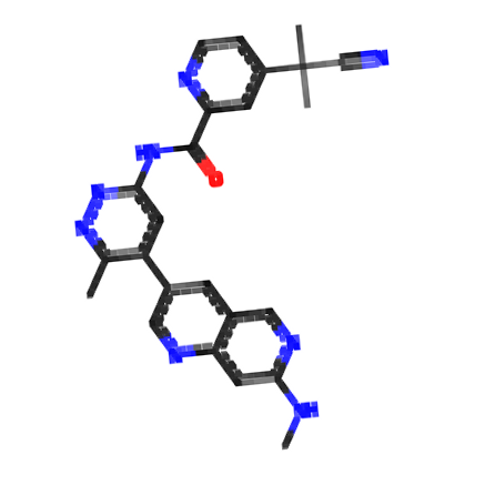 CNc1cc2ncc(-c3cc(NC(=O)c4cc(C(C)(C)C#N)ccn4)nnc3C)cc2cn1